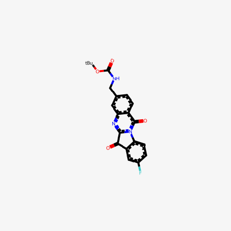 CC(C)(C)OC(=O)NCc1ccc2c(=O)n3c(nc2c1)C(=O)c1cc(F)ccc1-3